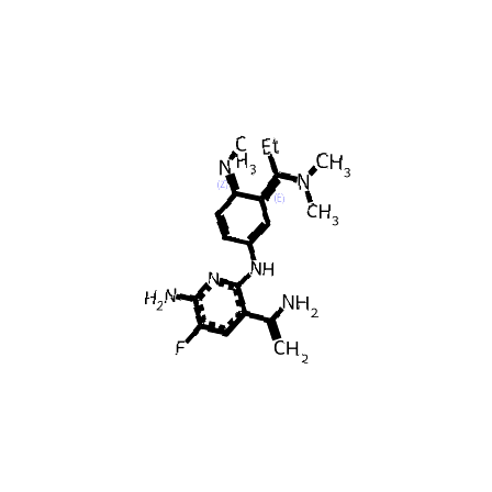 C=C(N)c1cc(F)c(N)nc1NC1=CC(=C(/CC)N(C)C)/C(=N\C)C=C1